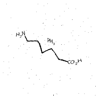 NCCCCCC(=O)O.P